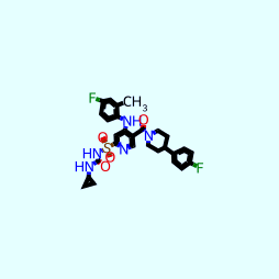 Cc1cc(F)ccc1Nc1cc(S(=O)(=O)NC(=O)NC2CC2)ncc1C(=O)N1CCC(c2ccc(F)cc2)CC1